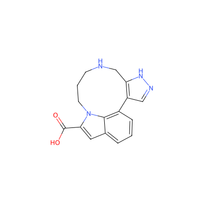 O=C(O)c1cc2cccc3c2n1CCCNCc1[nH]ncc1-3